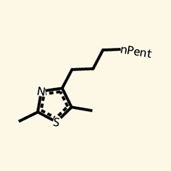 CCCCCCCCc1nc(C)sc1C